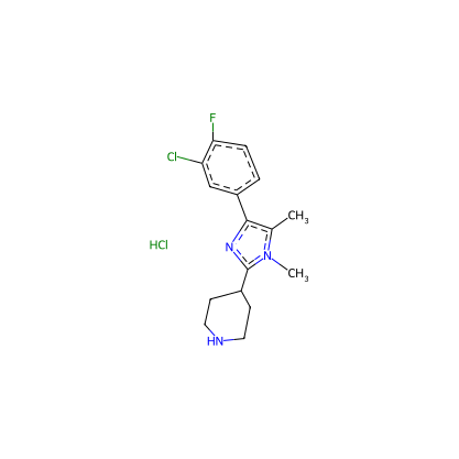 Cc1c(-c2ccc(F)c(Cl)c2)nc(C2CCNCC2)n1C.Cl